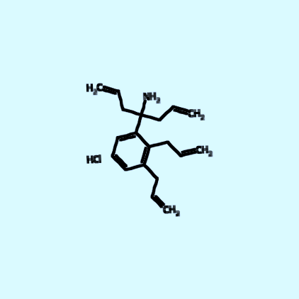 C=CCc1cccc(C(N)(CC=C)CC=C)c1CC=C.Cl